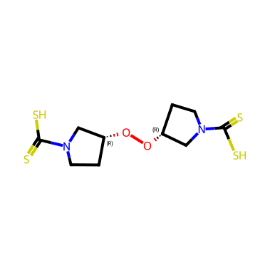 S=C(S)N1CC[C@@H](OO[C@@H]2CCN(C(=S)S)C2)C1